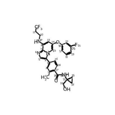 Cc1cc(-c2cnc3c(NCCC(F)(F)F)cc(Oc4cccc(F)c4)cn23)ccc1C(=O)NC1(CO)CC1